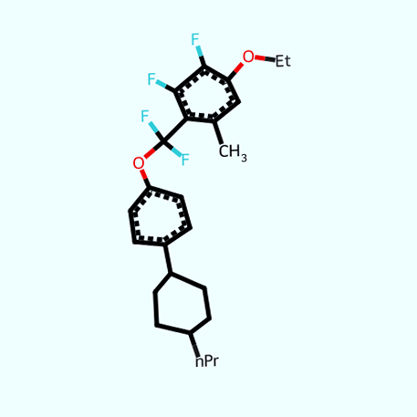 CCCC1CCC(c2ccc(OC(F)(F)c3c(C)cc(OCC)c(F)c3F)cc2)CC1